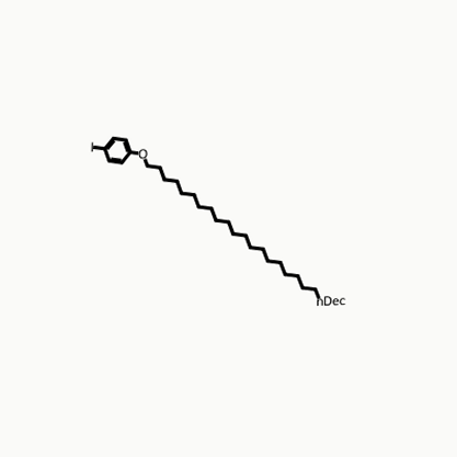 CCCCCCCCCCCCCCCCCCCCCCCCCCCCCCOc1ccc(I)cc1